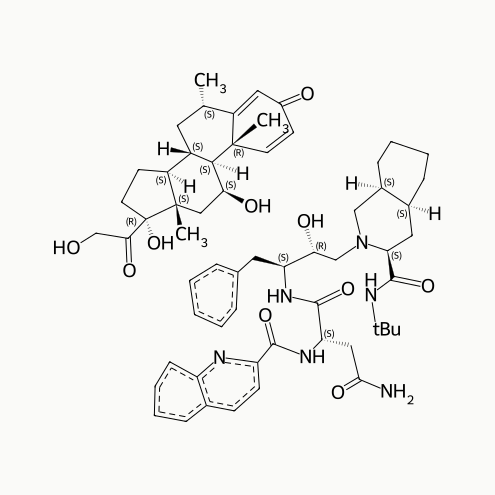 CC(C)(C)NC(=O)[C@@H]1C[C@@H]2CCCC[C@@H]2CN1C[C@@H](O)[C@H](Cc1ccccc1)NC(=O)[C@H](CC(N)=O)NC(=O)c1ccc2ccccc2n1.C[C@H]1C[C@@H]2[C@H]([C@@H](O)C[C@@]3(C)[C@H]2CC[C@]3(O)C(=O)CO)[C@@]2(C)C=CC(=O)C=C12